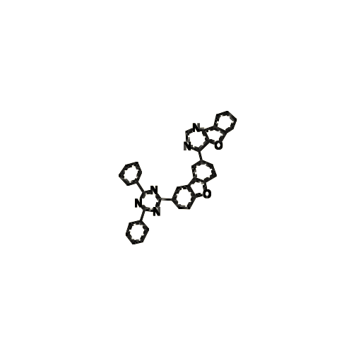 c1ccc(-c2nc(-c3ccccc3)nc(-c3ccc4oc5ccc(-c6ncnc7c6oc6ccccc67)cc5c4c3)n2)cc1